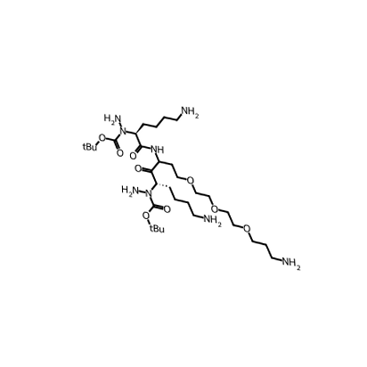 CC(C)(C)OC(=O)N(N)[C@@H](CCCCN)C(=O)NC(CCOCCOCCOCCCN)C(=O)[C@H](CCCCN)N(N)C(=O)OC(C)(C)C